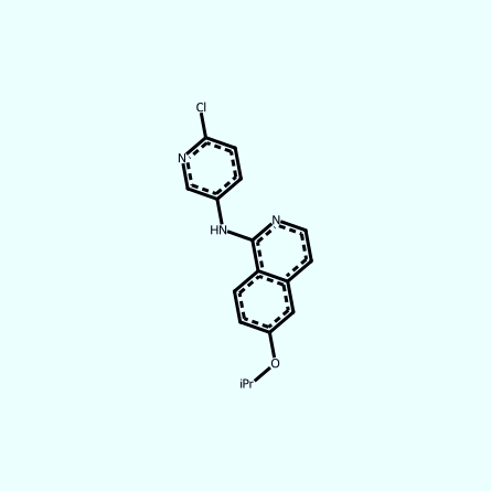 CC(C)Oc1ccc2c(Nc3ccc(Cl)nc3)nccc2c1